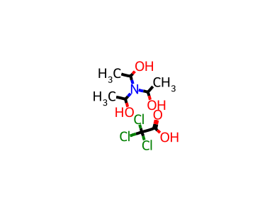 CC(O)N(C(C)O)C(C)O.O=C(O)C(Cl)(Cl)Cl